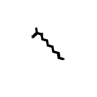 [CH2]/C=C/CCCCCOC(C)=O